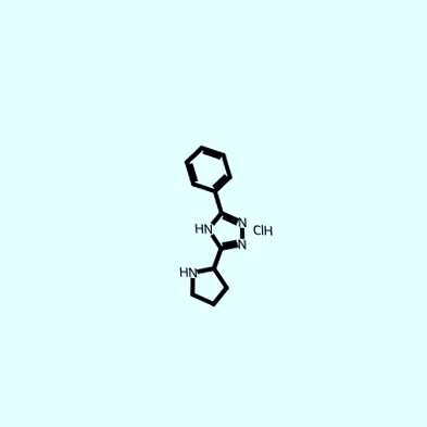 Cl.c1ccc(-c2nnc(C3CCCN3)[nH]2)cc1